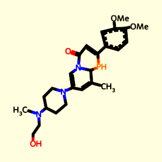 COc1ccc(C2=CC(=O)N3C=C(N4CCC(N(C)CCO)CC4)C=C(C)C3P2)cc1OC